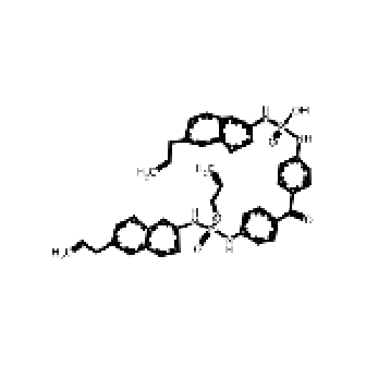 C=CCOP(=O)(Nc1ccc(C(=O)c2ccc(NP(=O)(O)Nc3ccc4cc(CC=C)ccc4c3)cc2)cc1)Nc1ccc2cc(CC=C)ccc2c1